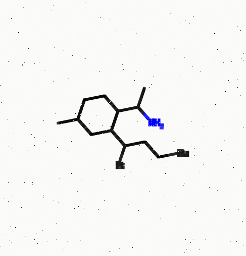 CCC(C)CCC(CC)C1CC(C)CCC1C(C)N